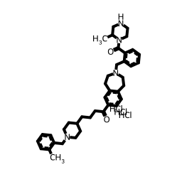 Cc1ccccc1CN1CCC(CCCC(=O)c2ccc3c(c2)CCN(Cc2ccccc2C(=O)N2CCNCC2C)CC3)CC1.Cl.Cl.Cl